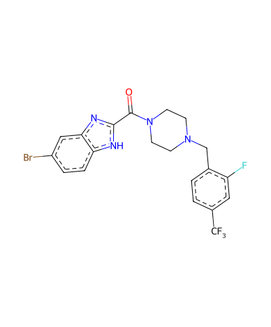 O=C(c1nc2cc(Br)ccc2[nH]1)N1CCN(Cc2ccc(C(F)(F)F)cc2F)CC1